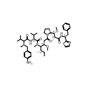 CC[C@H](C)C([C@@H](CC(=O)N1CCC[C@H]1[C@H](OC)[C@@H](C)C(=O)N[C@@H](Cc1ccccc1)c1nccs1)OC)N(C)C(=O)[C@@H](NC(=O)C(C(C)C)N(C)Cc1ccc(N)cc1)C(C)C